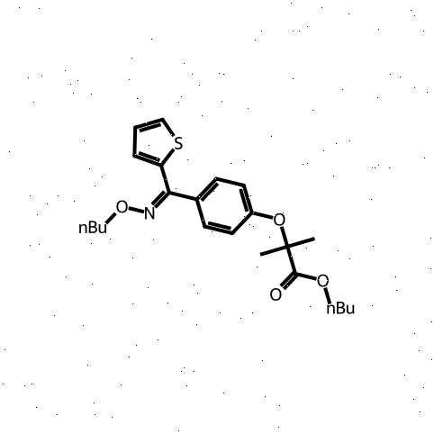 CCCCON=C(c1ccc(OC(C)(C)C(=O)OCCCC)cc1)c1cccs1